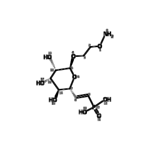 NOCCO[C@H]1O[C@H](C=CP(=O)(O)O)[C@@H](O)[C@H](O)[C@@H]1O